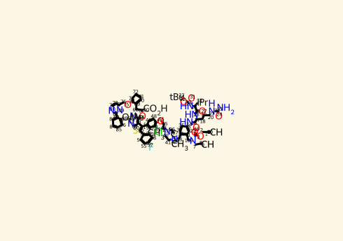 C#CCOC(=O)N(CC#C)Cc1cc(NC(=O)C(CCCNC(N)=O)NC(=O)C(NC(=O)OC(C)(C)C)C(C)C)ccc1C[N+]1(C)CCN(CCOc2ccc(-c3c(-c4ccc(F)cc4)sc4ncnc(O[C@H](Cc5ccccc5OCc5ccnc(-c6ccccc6OC)n5)C(=O)O)c34)c(C)c2Cl)CC1